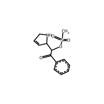 CS(=O)(=O)OC(C(=O)c1ccccc1)C1C=CCN1